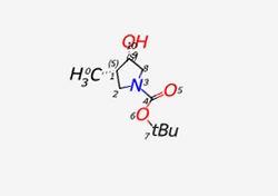 C[C@H]1CN(C(=O)OC(C)(C)C)C[C@H]1O